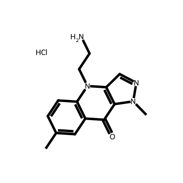 Cc1ccc2c(c1)c(=O)c1c(cnn1C)n2CCN.Cl